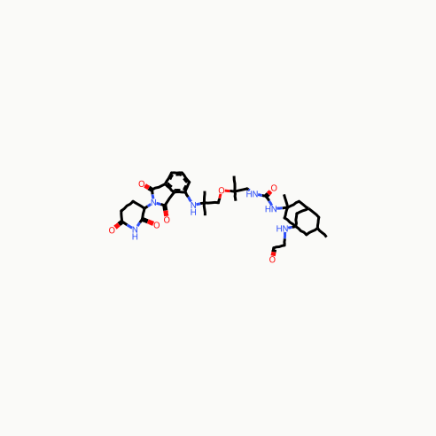 CC1CC2CC(C)(NC(=O)NCC(C)(C)OCC(C)(C)Nc3cccc4c3C(=O)N(C3CCC(=O)NC3=O)C4=O)CC(NCC=O)(C1)C2